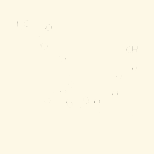 CCC(=O)OCOc1ccccc1C(=O)c1ccccc1C(=O)OOC(=O)c1ccccc1C(=O)c1ccccc1OCOC(=O)CC